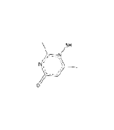 Cc1cc(=O)nc(C)n1S